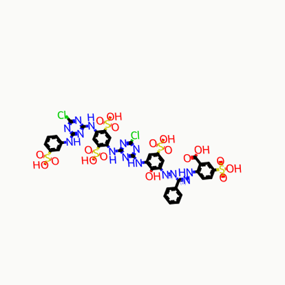 O=C(O)c1cc(S(=O)(=O)O)ccc1N/N=C(\N=N\c1cc(S(=O)(=O)O)cc(Nc2nc(Cl)nc(Nc3cc(S(=O)(=O)O)c(Nc4nc(Cl)nc(Nc5cccc(S(=O)(=O)O)c5)n4)cc3S(=O)(=O)O)n2)c1O)c1ccccc1